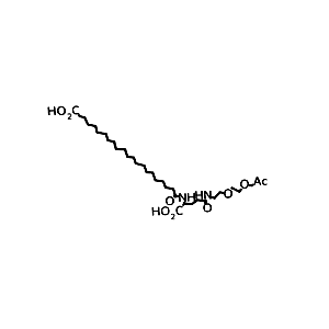 CC(=O)COCCOCCNC(=O)CC[C@H](NC(=O)CCCCCCCCCCCCCCCCCCCCC(=O)O)C(=O)O